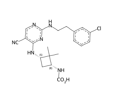 CC1(C)[C@@H](Nc2nc(NCCc3cccc(Cl)c3)ncc2C#N)C[C@H]1NC(=O)O